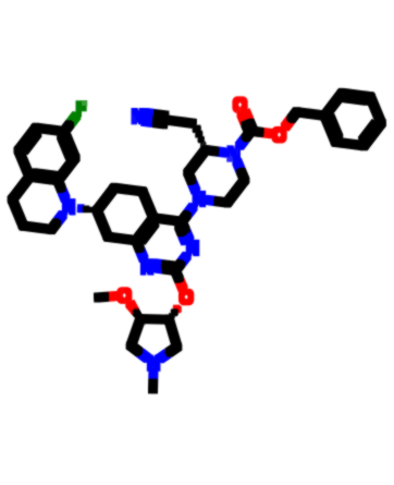 CO[C@@H]1CN(C)C[C@H]1Oc1nc2c(c(N3CCN(C(=O)OCc4ccccc4)[C@@H](CC#N)C3)n1)CC[C@@H](N1CCCc3ccc(F)cc31)C2